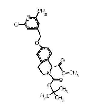 COC(=O)[C@H]1c2ccc(OCc3cc(C)nc(Cl)c3)cc2CCN1C(=O)OC(C)(C)C